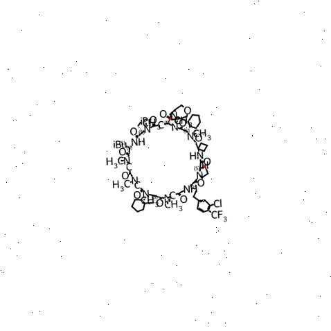 CC[C@H](C)[C@@H]1NC(=O)[C@H](CC(C)C)N(C)C(=O)C[C@@H](C(=O)N2C3CCC2COC3)N(C)C(=O)[C@H](C2CCCCC2)N(C)C(=O)C2(CCC2)NC(=O)[C@@H]2CCCN2C(=O)[C@H](CCc2ccc(C(F)(F)F)c(Cl)c2)NC(=O)CN(C)C(=O)[C@H](CC2CCCCC2)N(C)C(=O)CN(C)C(=O)CN(C)C1=O